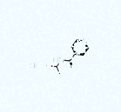 CC(NC(=O)c1ccncc1)C(=O)O